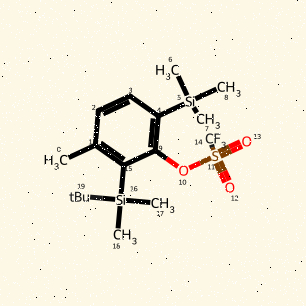 Cc1ccc([Si](C)(C)C)c(OS(=O)(=O)C(F)(F)F)c1[Si](C)(C)C(C)(C)C